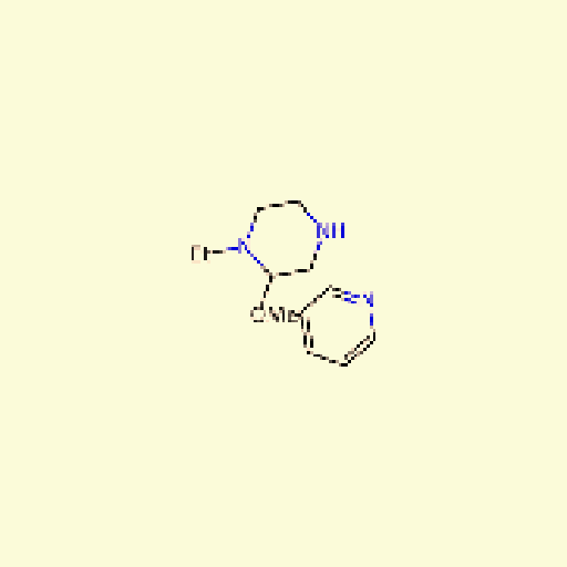 CCN1CCNCC1OC.c1ccncc1